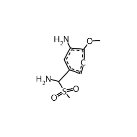 COc1ccc(C(N)S(C)(=O)=O)cc1N